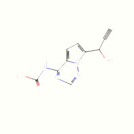 C#CC(O)c1ccc2c(NC(=O)O)ncnn12